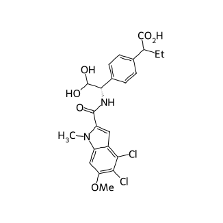 CCC(C(=O)O)c1ccc([C@H](NC(=O)c2cc3c(Cl)c(Cl)c(OC)cc3n2C)C(O)O)cc1